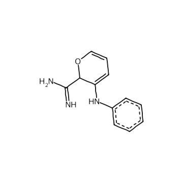 N=C(N)C1OC=CC=C1Nc1ccccc1